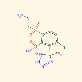 CC1(c2c(I)ccc(S(=O)(=O)CCN)c2S(N)(=O)=O)N=NNN1